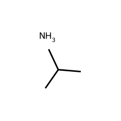 CC(C)C.N